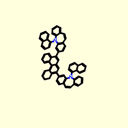 C1=CC2C=CC=C(N3c4ccccc4C=Cc4ccc(-c5cc6cc(-c7ccc8c(c7)N(c7cccc9ccccc79)c7ccccc7C=C8)c7ccccc7c6c6c5CCC=C6)cc43)C2C=C1